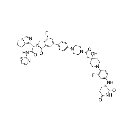 O=C1CC[C@H](Nc2ccc(N3CCC(O)(CC(=O)N4CCN(c5ccc(-c6cc(F)c7c(c6)C(=O)N(C(C(=O)Nc6nccs6)c6ncn8c6CCC8)C7)cc5)CC4)CC3)c(F)c2)C(=O)N1